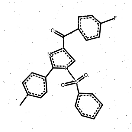 Cc1ccc(-c2nc(C(=O)c3ccc(F)cc3)cn2S(=O)(=O)c2ccccc2)cc1